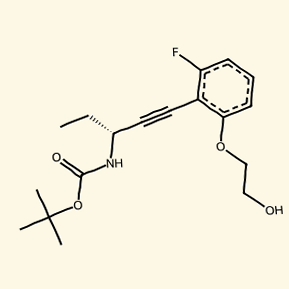 CC[C@H](C#Cc1c(F)cccc1OCCO)NC(=O)OC(C)(C)C